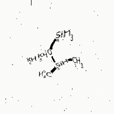 C[SiH](C)O[SiH3].[KH].[KH]